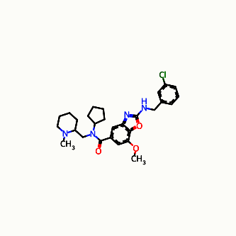 COc1cc(C(=O)N(CC2CCCCN2C)C2CCCC2)cc2nc(NCc3cccc(Cl)c3)oc12